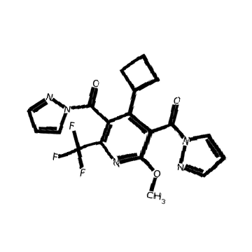 COc1nc(C(F)(F)F)c(C(=O)n2cccn2)c(C2CCC2)c1C(=O)n1cccn1